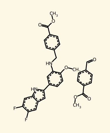 COC(=O)c1ccc(C=O)cc1.COC(=O)c1ccc(CNc2cc(-c3cc4cc(F)c(F)cc4[nH]3)ccc2OC)cc1